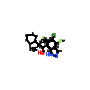 CC(C)(C1CCCCC1)C(O)c1c(F)c(Cl)c(F)c2cn[nH]c12